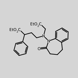 CCOC(=O)CN(CCC(C(=O)OCC)c1ccccc1)N1C(=O)CCCc2ccccc21